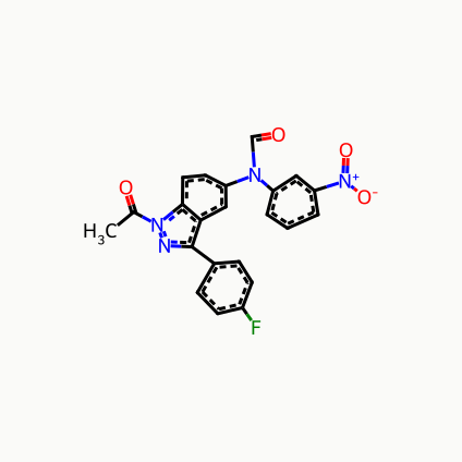 CC(=O)n1nc(-c2ccc(F)cc2)c2cc(N(C=O)c3cccc([N+](=O)[O-])c3)ccc21